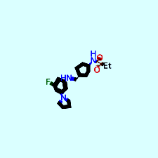 CCS(=O)(=O)N[C@H]1CC[C@H](CNc2cc(F)cc(N3CCCC3)c2)CC1